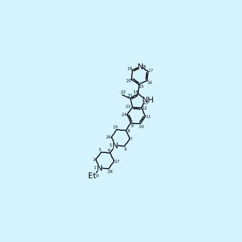 CCN1CCC(N2CCC(c3ccc4[nH]c(-c5ccncc5)c(C)c4c3)CC2)CC1